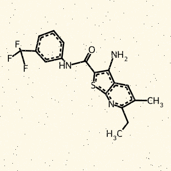 CCc1nc2sc(C(=O)Nc3cccc(C(F)(F)F)c3)c(N)c2cc1C